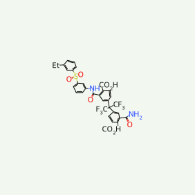 CCc1cccc(S(=O)(=O)c2cccc(NC(=O)c3cc(C(c4ccc(C(=O)O)c(C(N)=O)c4)(C(F)(F)F)C(F)(F)F)ccc3C(=O)O)c2)c1